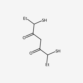 CCC(S)C(=O)CC(=O)C(S)CC